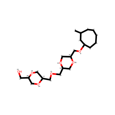 CC1CCCCCC(OCC2COC(COCC3COC(CO)CO3)CO2)C1